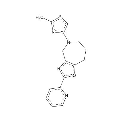 Cc1nc(N2CCCc3oc(-c4ccccn4)nc3C2)cs1